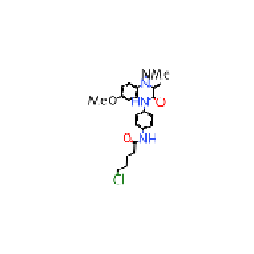 C=C(C(=O)Nc1ccc(NC(=O)CCCCCl)cc1)N(NC)c1ccc(OC)cc1